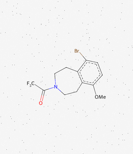 COc1ccc(Br)c2c1CCN(C(=O)C(F)(F)F)CC2